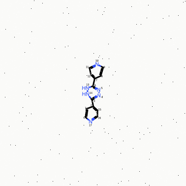 c1cc(C2=NN=C(c3ccncc3)NN2)ccn1